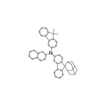 CC1(C)c2ccccc2-c2cc(N(c3ccc4c(c3)-c3ccccc3C43C4CC5CC(C4)CC3C5)c3ccc4ccccc4c3)ccc21